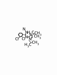 CC(C)Cn1cc(C(C)(C)C)s/c1=N\C(=N\C#N)c1cccc(Cl)c1Cl